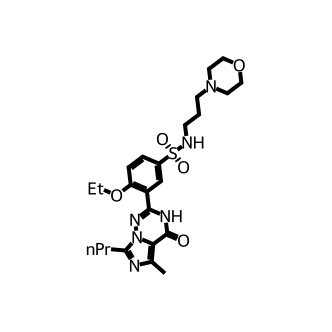 CCCc1nc(C)c2c(=O)[nH]c(-c3cc(S(=O)(=O)NCCCN4CCOCC4)ccc3OCC)nn12